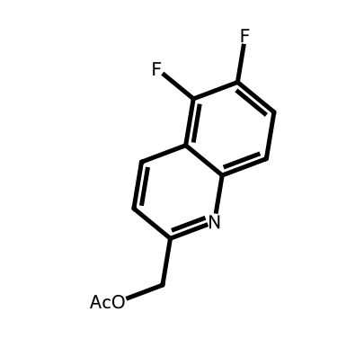 CC(=O)OCc1ccc2c(F)c(F)ccc2n1